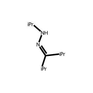 CC(C)NN=C(C(C)C)C(C)C